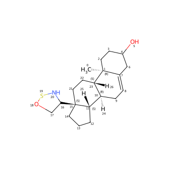 C[C@]12CCC(O)CC1=CC[C@H]1[C@@H]3CCC[C@]3(C3COSN3)CC[C@@H]12